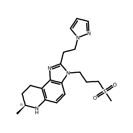 C[C@H]1CCc2c(ccc3c2nc(CCn2cccn2)n3CCCS(C)(=O)=O)N1